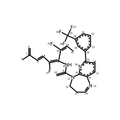 C=C(C)/C=C/C(F)=C(NC(=C)N1CCC=Nc2ccc(-c3cccc(C(F)(F)F)c3)nc21)\C(F)=C/C